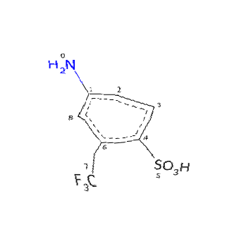 Nc1ccc(S(=O)(=O)O)c(C(F)(F)F)c1